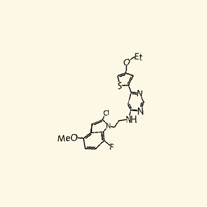 CCOc1csc(-c2cc(NCCn3c(Cl)cc4c(OC)ccc(F)c43)ncn2)c1